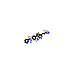 CNC(=O)C=Cc1cnc(N)c2c(-c3ccc(NC(=O)c4ccccc4)cc3)csc12